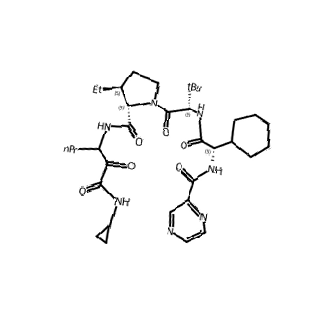 CCCC(NC(=O)[C@@H]1[C@@H](CC)CCN1C(=O)[C@@H](NC(=O)[C@@H](NC(=O)c1cnccn1)C1CCCCC1)C(C)(C)C)C(=O)C(=O)NC1CC1